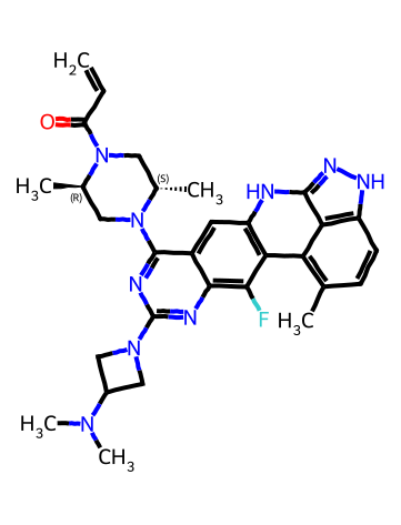 C=CC(=O)N1C[C@H](C)N(c2nc(N3CC(N(C)C)C3)nc3c(F)c4c(cc23)Nc2n[nH]c3ccc(C)c-4c23)C[C@H]1C